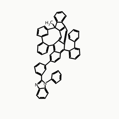 CC12c3cccc(c3)-c3ccccc3-c3c4cc(-c5cccc(-c6nc7ccccc7n6-c6ccccc6)c5)ccc4c(-c4ccccc4-c4ccccc4)c4cc(c1cc34)-c1ccccc12